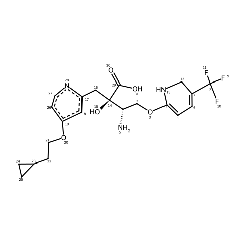 N[C@@H](COC1=CC=C(C(F)(F)F)CN1)[C@](O)(Cc1cc(OCCC2CC2)ccn1)C(=O)O